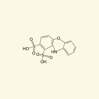 O=S(=O)(O)c1ccc2c(c1S(=O)(=O)O)Nc1ccccc1O2